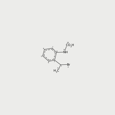 CC(Br)c1ccccc1NC(=O)O